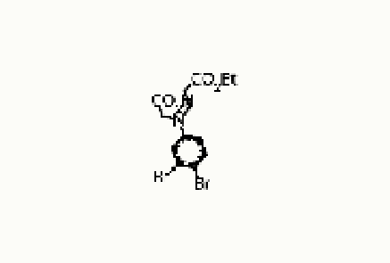 CCOC(=O)CCN(CC(=O)O)c1ccc(Br)c(Br)c1